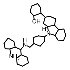 NC1CCCCC1C(NCC1CCC(N2C3CCCCC3C3CCC(C4CCCCC4O)C[C@@H]32)CC1)C1CCCCC1